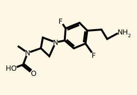 CN(C(=O)O)C1CN(c2cc(F)c(CCN)cc2F)C1